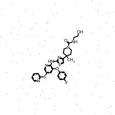 CC1(c2csc(Nc3ncc(Sc4ccccn4)cc3Oc3ccc(F)cc3)n2)CCN(C(=O)NCCO)CC1